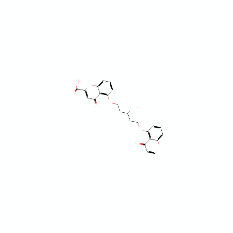 O=C(O)c1cc(=O)c2c(OCCC(O)CCOc3cccc4occc(=O)c34)cccc2o1